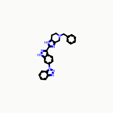 c1ccc(CN2CCc3[nH]c(-c4n[nH]c5cc(-n6nnc7ccccc76)ccc45)nc3C2)cc1